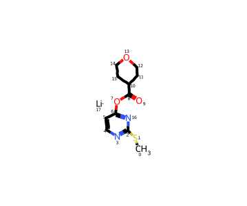 CSc1nccc(OC(=O)C2CCOCC2)n1.[Li]